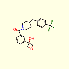 O=C(c1cccc(C2(O)COC2)c1)N1CCC(Cc2ccc(C(F)(F)F)cc2)CC1